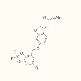 COC(=O)CC1COc2cc(OCc3cc(Cl)cc4c3OC(F)(F)O4)ccc21